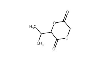 CC(C)C1OC(=O)COC1=O